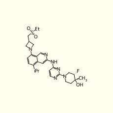 CCS(=O)(=O)CC1CN(c2ccc(C(C)C)c3cc(Nc4ccnc(N5CC[C@@](C)(O)[C@@H](F)C5)n4)ncc23)C1